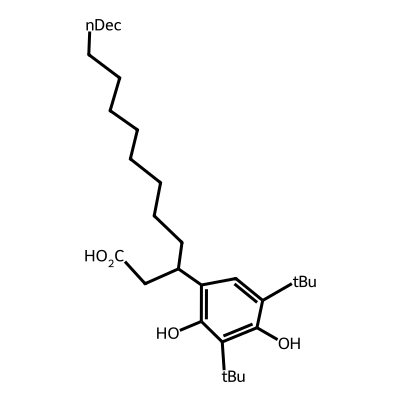 CCCCCCCCCCCCCCCCCCC(CC(=O)O)c1cc(C(C)(C)C)c(O)c(C(C)(C)C)c1O